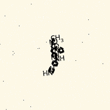 Cc1nc(Cc2cc3cnc(Nc4ccc(N5CCNCC5)cc4)nc3n(C3CCCC3)c2=O)co1